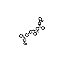 CC1(C)c2ccccc2-c2ccc(N(c3ccccc3)c3ccc4c(c3)Oc3cccc5c3c-4cc3ccc(-c4ccc(N(c6ccccc6)c6ccc([Si](C)(C)C)cc6)cc4)cc35)cc21